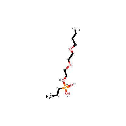 CCCCOCCOCCOP(=O)(O)CCC